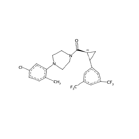 Cc1ccc(Cl)cc1N1CCN(C(=O)[C@H]2CC2c2cc(C(F)(F)F)cc(C(F)(F)F)c2)CC1